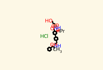 CC(C)Oc1cc(-c2ccc(CCN[C@@H](C)[C@H](O)c3ccccc3)cc2)ccc1C(=O)NS(=O)(=O)CCCO.Cl